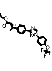 CCOC(=O)/C=C(\C)c1ccc(-c2ncn(-c3ccc(OC(F)(F)F)cc3)n2)cc1